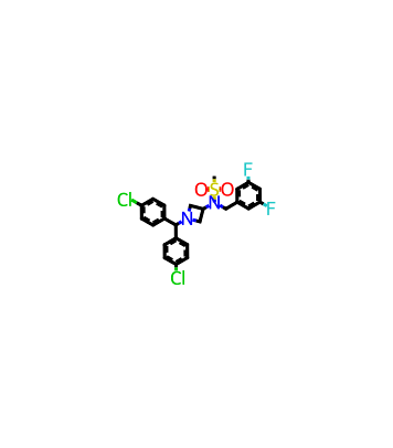 CS(=O)(=O)N(Cc1cc(F)cc(F)c1)C1CN(C(c2ccc(Cl)cc2)c2ccc(Cl)cc2)C1